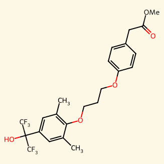 COC(=O)Cc1ccc(OCCCOc2c(C)cc(C(O)(C(F)(F)F)C(F)(F)F)cc2C)cc1